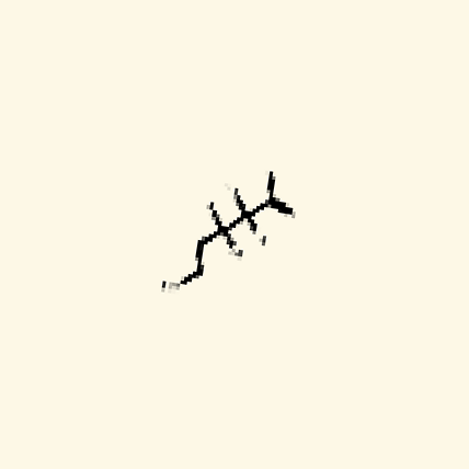 [2H]C([2H])(CCO)C([2H])([2H])C(C)=O